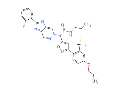 CCCNC(=O)C(c1cc(-c2ccc(OCCC)cc2C(F)(F)F)no1)n1cc2nc(-c3ccccc3F)nc-2cn1